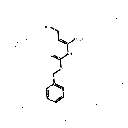 CC(C)(C)CC=C(NC(=O)OCc1ccccc1)C(=O)O